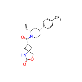 C=C[C@@H]1C[C@H](c2ccc(C(F)(F)F)cc2)CCN1C(=O)[C@H]1C[C@]2(COC(=O)N2)C1